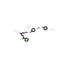 COC(=O)c1cc(C(=O)CNC(=O)c2ccc(OCCOCc3ccc(OC)cc3)c(OC)c2)nc(-c2csc3c(F)cccc23)c1